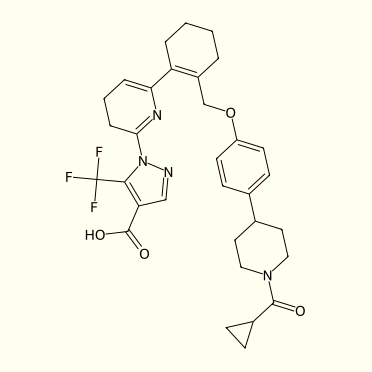 O=C(O)c1cnn(C2=NC(C3=C(COc4ccc(C5CCN(C(=O)C6CC6)CC5)cc4)CCCC3)=CCC2)c1C(F)(F)F